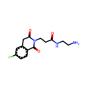 NCCNC(=O)CCN1C(=O)Cc2cc(F)ccc2C1=O